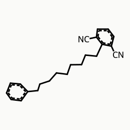 N#Cc1cccc(C#N)c1CCCCCCCCCc1ccccc1